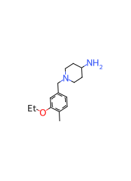 CCOc1cc(CN2CCC(N)CC2)ccc1C